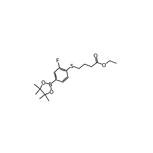 CCOC(=O)CCCSc1ccc(B2OC(C)(C)C(C)(C)O2)cc1F